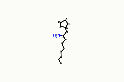 CCCCCCCC(N)CC1CCCC1